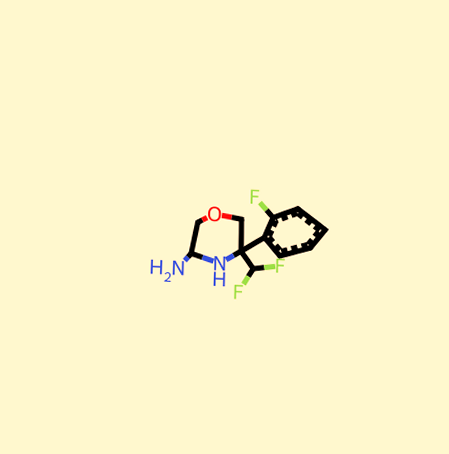 NC1COCC(c2ccccc2F)(C(F)F)N1